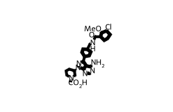 COc1c(Cl)cccc1C(=O)NCc1ccc(-c2nn([C@@H]3CCCN(C(=O)O)C3)c3ncnc(N)c23)cc1